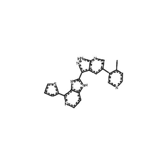 Cc1ccncc1-c1cnc2[nH]nc(-c3nc4c(-c5cccs5)nccc4[nH]3)c2c1